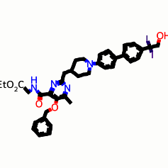 CCOC(=O)CNC(=O)c1nc(CC2CCN(c3ccc(-c4ccc(C(I)(I)CO)cc4)cc3)CC2)nc(C)c1OCc1ccccc1